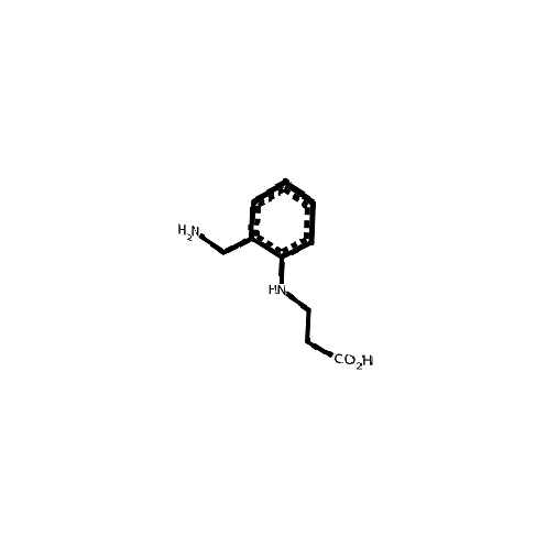 NCc1ccccc1NCCC(=O)O